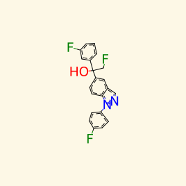 OC(CF)(c1cccc(F)c1)c1ccc2c(cnn2-c2ccc(F)cc2)c1